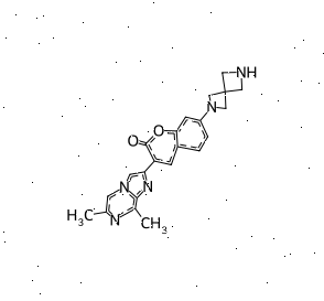 Cc1cn2cc(-c3cc4ccc(N5CC6(CNC6)C5)cc4oc3=O)nc2c(C)n1